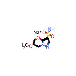 CO[C@H]1COc2c(S([NH-])(=O)=O)cnn2C1.[Na+]